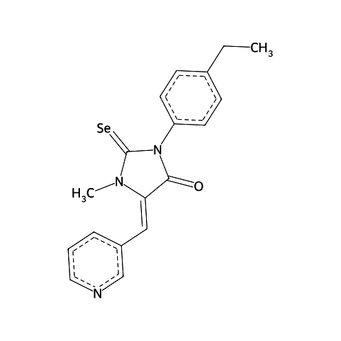 CCc1ccc(N2C(=O)C(=Cc3cccnc3)N(C)C2=[Se])cc1